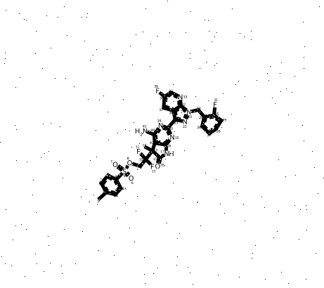 Cc1ccc(S(=O)(=O)OCC(F)(F)C2(C)C(=O)Nc3nc(-c4nn(Cc5ccccc5F)c5ncc(F)cc45)nc(N)c32)cc1